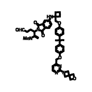 C=C(NC)C(CCC=O)N1C(=O)c2ccc(NC3(COc4ccc(C(C)(C)c5ccc(OCc6ccnc(N7CC8(COC8)C7)n6)cc5)cc4)CCC3)cc2C1=O